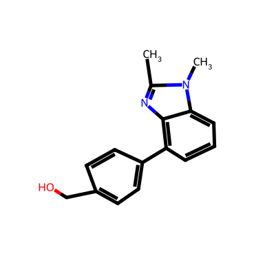 Cc1nc2c(-c3ccc(CO)cc3)cccc2n1C